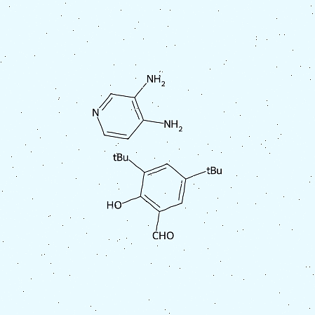 CC(C)(C)c1cc(C=O)c(O)c(C(C)(C)C)c1.Nc1ccncc1N